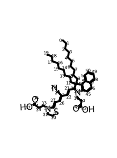 CCCCCCCCCCC1(CCCCCCCCC)C(/C=C/C(C#N)=C/C=C2\SCCN2CCC(=O)O)=[N+](CCC(=O)O)c2ccc3ccccc3c21